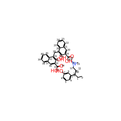 CC[C@@H](c1cccc(O)c1)[C@@H](C)CN(C)C.O=C(O)c1cc2ccccc2c(Cc2c(O)c(C(=O)O)cc3ccccc23)c1O